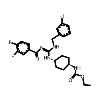 CCOC(=O)N[C@H]1CC[C@H](N/C(=N\C(=O)c2ccc(F)c(F)c2)NCc2cccc(Cl)c2)CC1